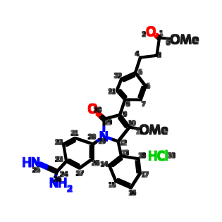 COC(=O)CCc1ccc(C2=C(OC)C(c3ccccc3)N(c3ccc(C(=N)N)cc3)C2=O)cc1.Cl